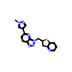 Cn1cc(-c2ccc3nnn(CC4Cc5ncccc5S4)c3n2)cn1